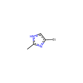 CCc1c[nH]c(C)n1